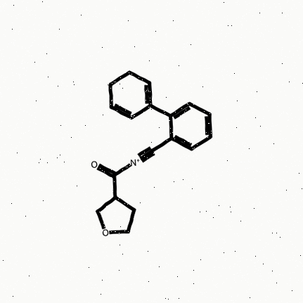 O=C([N+]#Cc1ccccc1C1=CC[CH]C=C1)C1CCOC1